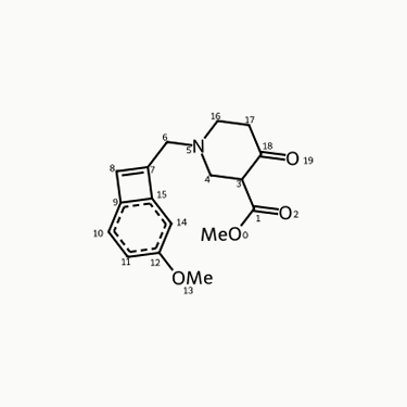 COC(=O)C1CN(CC2=Cc3ccc(OC)cc32)CCC1=O